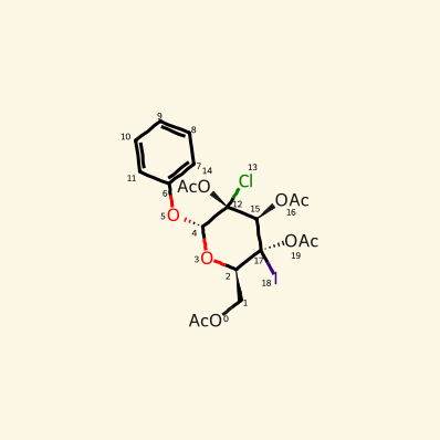 CC(=O)OC[C@H]1O[C@H](Oc2ccccc2)[C@@](Cl)(OC(C)=O)[C@@H](OC(C)=O)[C@]1(I)OC(C)=O